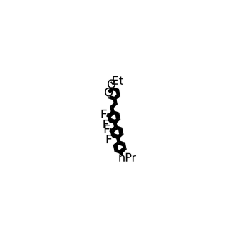 CCCc1ccc(-c2ccc(-c3ccc(CCC4CCC(OCC)OC4)c(F)c3F)c(F)c2F)cc1